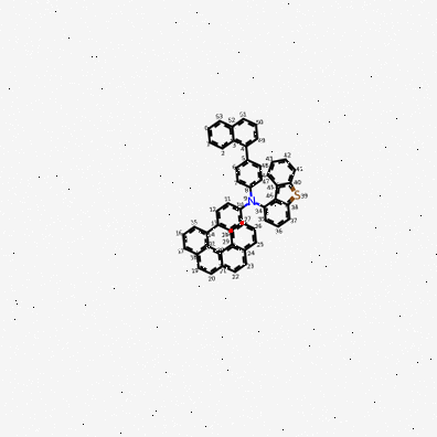 c1ccc2c(-c3ccc(N(c4ccc(-c5cccc6ccc7ccc8ccccc8c7c56)cc4)c4cccc5sc6ccccc6c45)cc3)cccc2c1